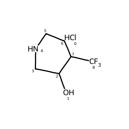 Cl.OC1CNCCC1C(F)(F)F